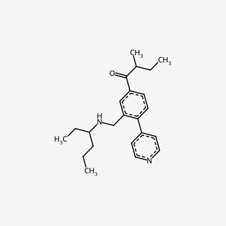 CCCC(CC)NCc1cc(C(=O)C(C)CC)ccc1-c1ccncc1